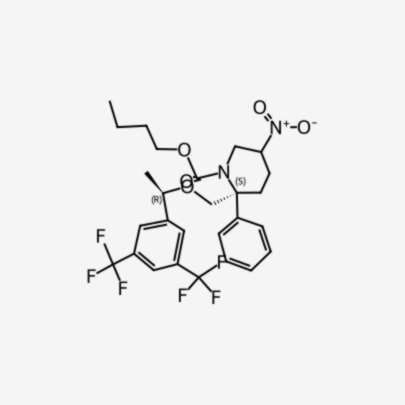 CCCCOC(=O)N1CC([N+](=O)[O-])CC[C@@]1(CO[C@H](C)c1cc(C(F)(F)F)cc(C(F)(F)F)c1)c1ccccc1